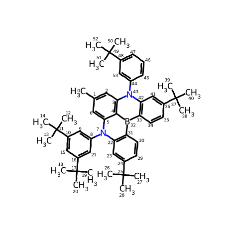 Cc1cc2c3c(c1)N(c1cc(C(C)(C)C)cc(C(C)(C)C)c1)c1cc(C(C)(C)C)ccc1B3c1ccc(C(C)(C)C)cc1N2c1cccc(C(C)(C)C)c1